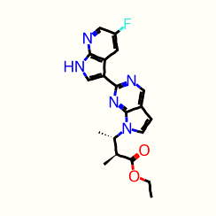 CCOC(=O)[C@@H](C)[C@H](C)n1ccc2cnc(-c3c[nH]c4ncc(F)cc34)nc21